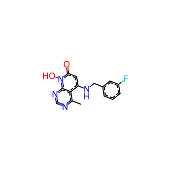 Cc1ncnc2c1c(NCc1cccc(F)c1)cc(=O)n2O